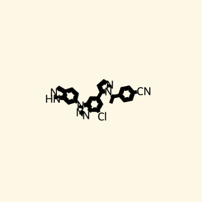 CC(c1ccc(C#N)cc1)n1nccc1-c1cc(Cl)c2nnn(-c3ccc4cn[nH]c4c3)c2c1